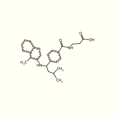 Cc1c(NC(CC(C)C)c2ccc(C(=O)NCCC(=O)O)cc2)cnc2ccccc12